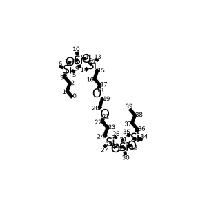 CCCC[Si](C)(C)O[Si](C)(C)O[Si](C)(C)CCCOCCOCCC[Si](C)(C)O[Si](C)(C)O[Si](C)(C)CCCC